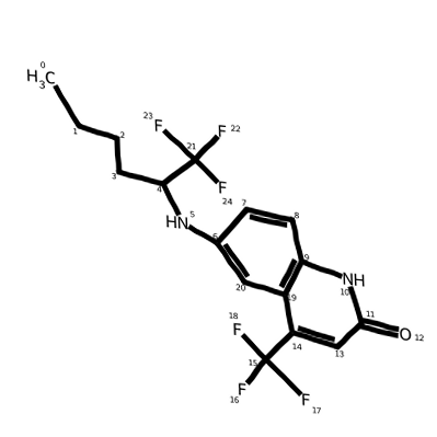 CCCCC(Nc1ccc2[nH]c(=O)cc(C(F)(F)F)c2c1)C(F)(F)F